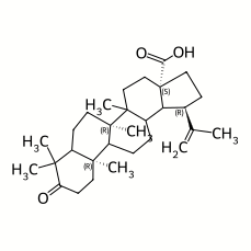 C=C(C)[C@@H]1CC[C@]2(C(=O)O)CCC3(C)C(CCC4[C@@]5(C)CCC(=O)C(C)(C)C5CC[C@]43C)C12